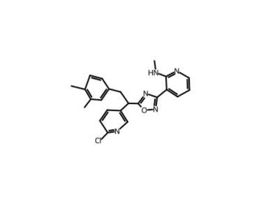 CNc1ncccc1-c1noc(C(Cc2ccc(C)c(C)c2)c2ccc(Cl)nc2)n1